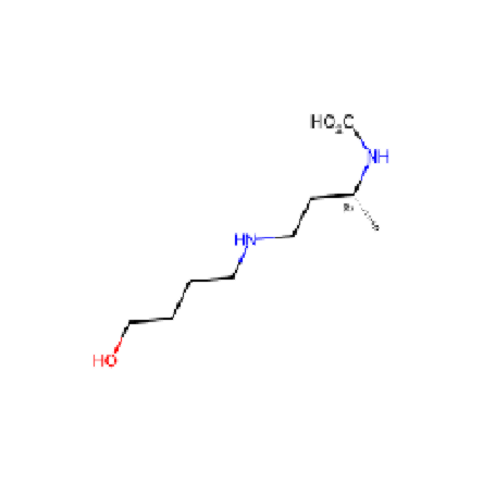 C[C@H](CCNCCCCO)NC(=O)O